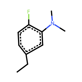 CCc1ccc(F)c(N(C)C)c1